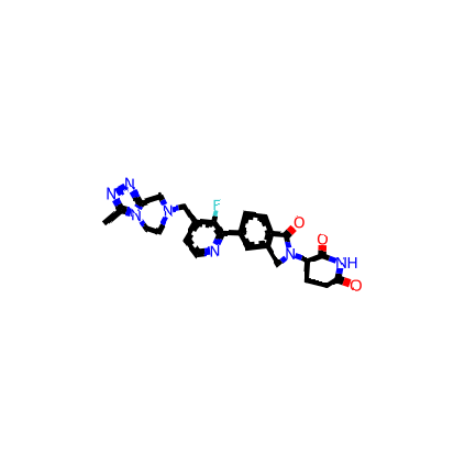 Cc1nnc2n1CCN(Cc1ccnc(-c3ccc4c(c3)CN(C3CCC(=O)NC3=O)C4=O)c1F)C2